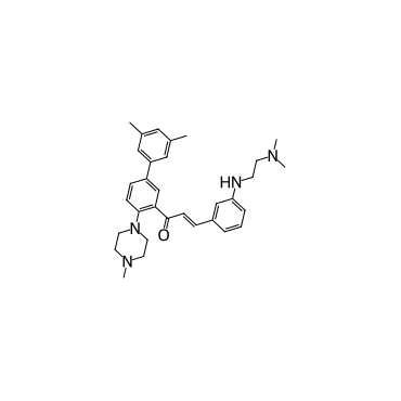 Cc1cc(C)cc(-c2ccc(N3CCN(C)CC3)c(C(=O)C=Cc3cccc(NCCN(C)C)c3)c2)c1